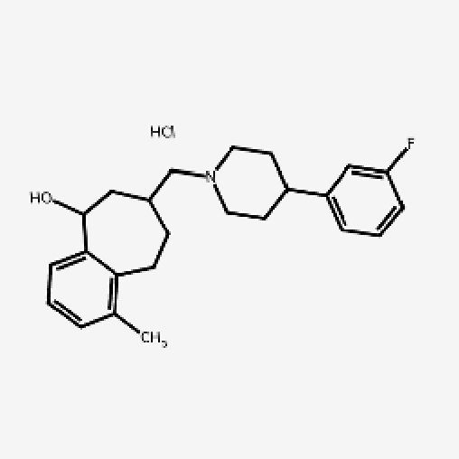 Cc1cccc2c1CCC(CN1CCC(c3cccc(F)c3)CC1)CC2O.Cl